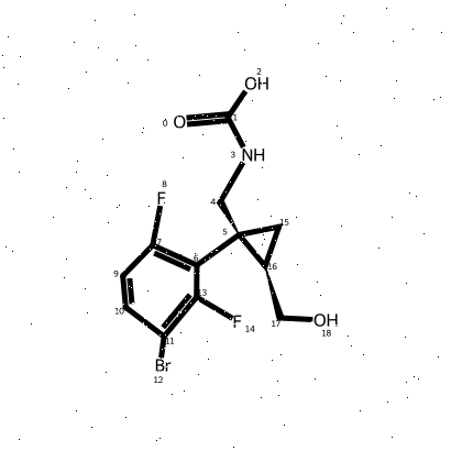 O=C(O)NC[C@@]1(c2c(F)ccc(Br)c2F)C[C@H]1CO